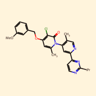 COc1cccc(COc2cc(C)n(-c3cc(-c4ccnc(C(C)C)n4)ncc3C)c(=O)c2Cl)c1